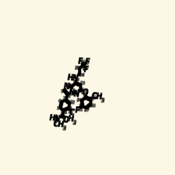 CNC(=O)c1ccc(-c2cnc3c(NCCC(F)(F)F)cc(Oc4cc(F)ccc4C)nn23)cc1C